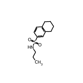 CCCNS(=O)(=O)c1ccc2c(c1)CCCC2